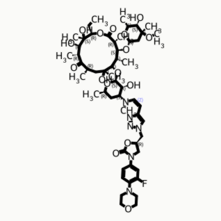 CC[C@H]1OC(=O)[C@H](C)[C@@H](O[C@H]2C[C@@](C)(OC)[C@@H](O)[C@H](C)O2)[C@H](C)[C@@H](O[C@@H]2O[C@H](C)C[C@H](N(C)/C=C\c3cn(C[C@H]4CN(c5ccc(N6CCOCC6)c(F)c5)C(=O)O4)nn3)[C@H]2O)[C@](C)(O)C[C@@H](C)C(=O)[C@H](C)[C@@H](O)[C@]1(C)O